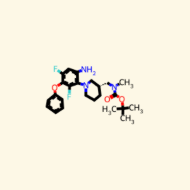 CN(C[C@@H]1CCCN(c2c(N)cc(F)c(Oc3ccccc3)c2F)C1)C(=O)OC(C)(C)C